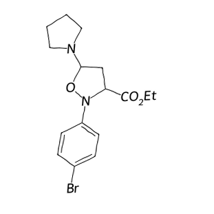 CCOC(=O)C1CC(N2CCCC2)ON1c1ccc(Br)cc1